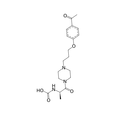 CC(=O)c1ccc(OCCCN2CCN(C(=O)[C@@H](C)NC(=O)O)CC2)cc1